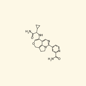 NC(=O)c1cc(C2=NC=C3C(NC(C(N)=O)C4CC4)=COCC4=C3N2CC4)ccn1